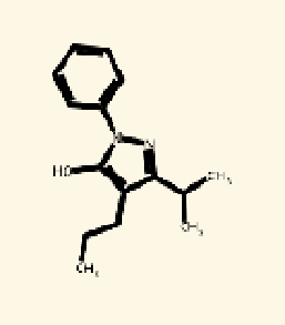 CCCc1c(C(C)C)nn(-c2ccccc2)c1O